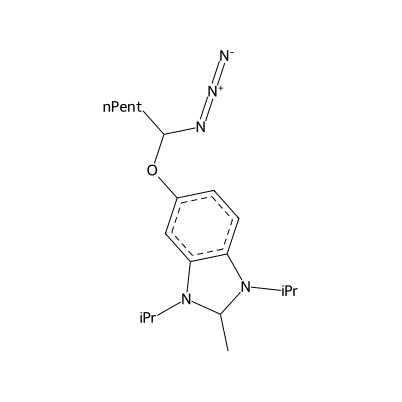 CCCCCC(N=[N+]=[N-])Oc1ccc2c(c1)N(C(C)C)C(C)N2C(C)C